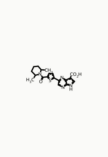 CC1CCCC(C)N1C(=O)c1ccc(-c2cnc3[nH]cc(C(=O)O)c3n2)s1